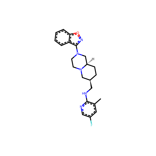 Cc1cc(F)cnc1NC[C@@H]1CC[C@@H]2CN(c3noc4ccccc34)CCN2C1